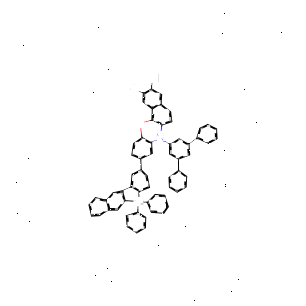 Cc1cc2ccc3c(c2cc1C)Oc1ccc(-c2ccc4c(c2)-c2cc5ccccc5cc2[Si]4(c2ccccc2)c2ccccc2)cc1N3c1cc(-c2ccccc2)cc(-c2ccccc2)c1